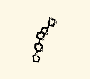 c1ncc(-c2cc3ccc(-c4ccc(N5CCCC5)nc4)nc3s2)cn1